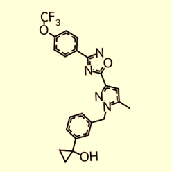 Cc1cc(-c2nc(-c3ccc(OC(F)(F)F)cc3)no2)nn1Cc1cccc(C2(O)CC2)c1